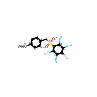 COc1ccc(CS(=O)(=O)c2c(F)c(F)c(F)c(F)c2F)cc1